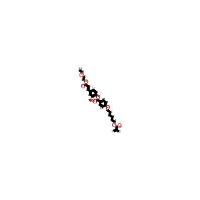 C=C(C)C(=O)OCCCCCCOc1ccc(C(=O)Oc2ccc(/C=C/C(=O)OCCOCC)cc2OC)cc1